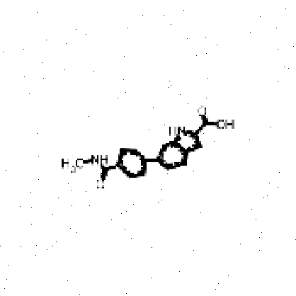 CNC(=O)c1ccc(-c2ccc3cc(C(=O)O)[nH]c3c2)cc1